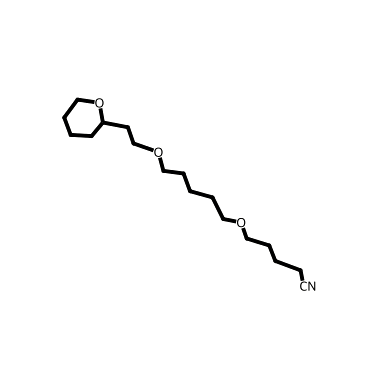 N#CCCCCOCCCCCOCCC1CCCCO1